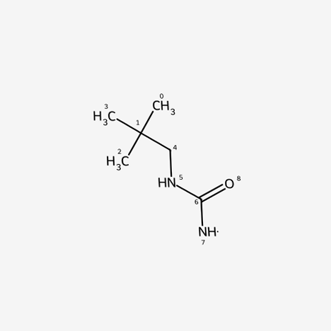 CC(C)(C)CNC([NH])=O